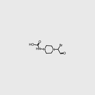 O=CC(Br)N1CCN(NC(=O)O)CC1